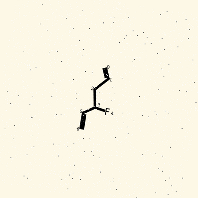 C=CCC(F)C=C